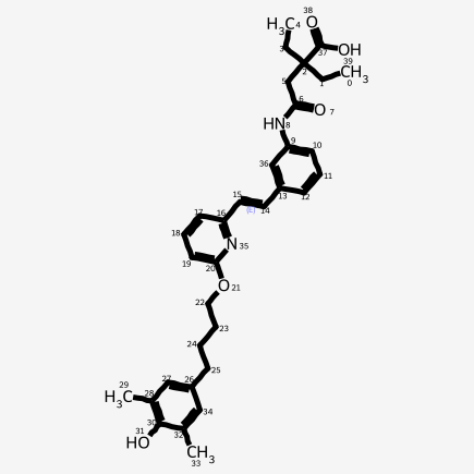 CCC(CC)(CC(=O)Nc1cccc(/C=C/c2cccc(OCCCCc3cc(C)c(O)c(C)c3)n2)c1)C(=O)O